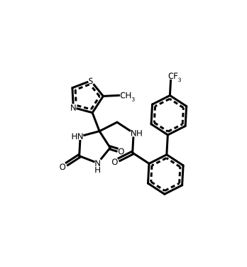 Cc1scnc1C1(CNC(=O)c2ccccc2-c2ccc(C(F)(F)F)cc2)NC(=O)NC1=O